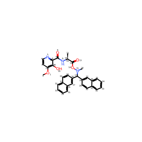 COc1ccnc(C(=O)N[C@@H](C)C(=O)ON(C)C(c2ccc3ccccc3c2)c2ccc3ccccc3c2)c1O